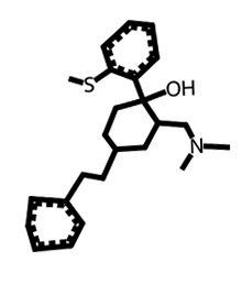 CSc1ccccc1C1(O)CCC(CCc2ccccc2)CC1CN(C)C